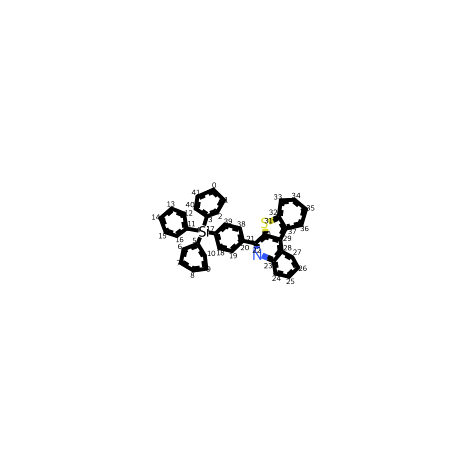 c1ccc([Si](c2ccccc2)(c2ccccc2)c2ccc(-c3nc4ccccc4c4c3sc3ccccc34)cc2)cc1